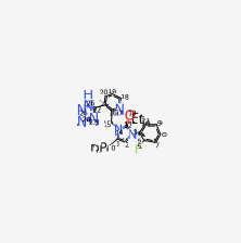 CCCc1cn(-c2c(F)cccc2CC)c(=O)n1Cc1ncccc1-c1nnn[nH]1